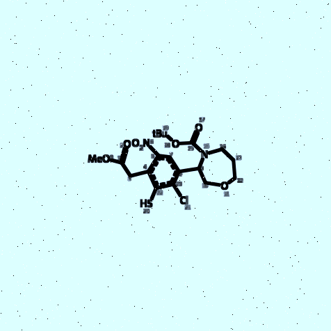 COC(=O)Cc1c([N+](=O)[O-])cc(C2COCCCN2C(=O)OC(C)(C)C)c(Cl)c1S